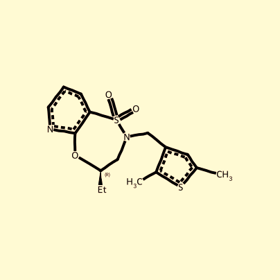 CC[C@@H]1CN(Cc2cc(C)sc2C)S(=O)(=O)c2cccnc2O1